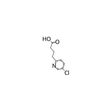 O=C(O)CCCc1ccc(Cl)cn1